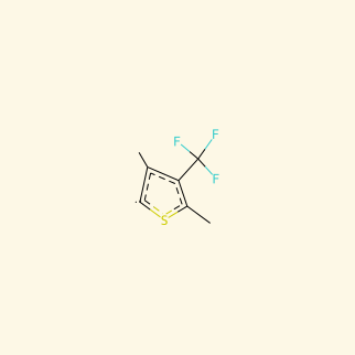 Cc1[c]sc(C)c1C(F)(F)F